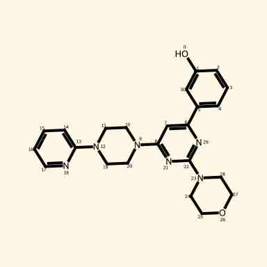 Oc1cccc(-c2cc(N3CCN(c4ccccn4)CC3)nc(N3CCOCC3)n2)c1